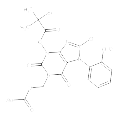 CCC(C)(C)C(=O)On1c(=O)n(COC(=O)C(C)(C)C)c(=O)c2c1nc(Cl)n2-c1ccccc1C=O